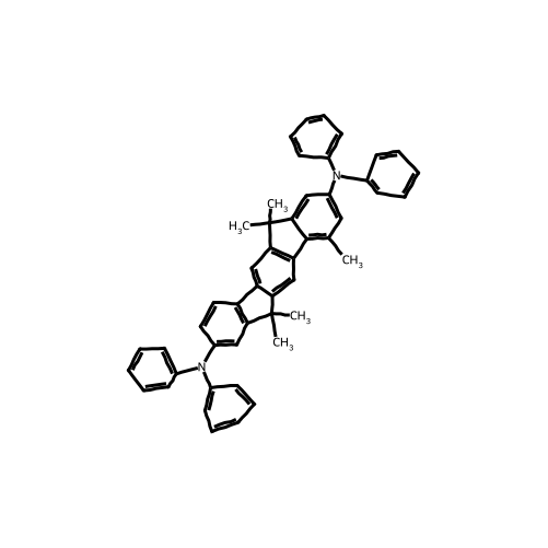 Cc1cc(N(c2ccccc2)c2ccccc2)cc2c1-c1cc3c(cc1C2(C)C)-c1ccc(N(c2ccccc2)c2ccccc2)cc1C3(C)C